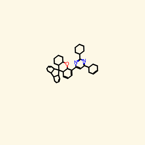 C1=CC2C(OC3CCCCC3C23C2C=CCCC2C2CCC=CC23)C(c2cc(C3CC=CCC3)nc(C3CCCCC3)n2)=C1